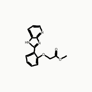 COC(=O)COc1ccccc1-c1nc2ncccc2[nH]1